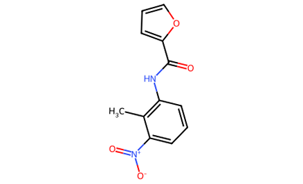 Cc1c(NC(=O)c2ccco2)cccc1[N+](=O)[O-]